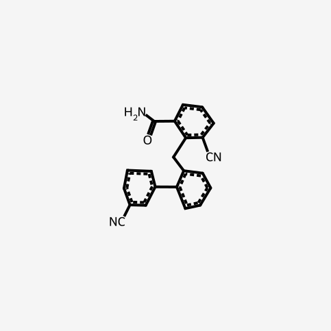 N#Cc1cccc(-c2ccccc2Cc2c(C#N)cccc2C(N)=O)c1